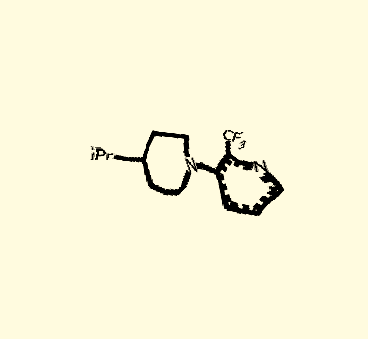 CC(C)C1CCN(c2cccnc2C(F)(F)F)CC1